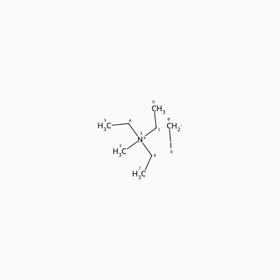 CC[N+](C)(CC)CC.[CH2]I